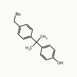 CCC(C)Cc1ccc(C(C)(C)c2ccc(O)cc2)cc1